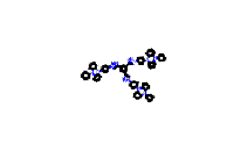 c1ccc(N2c3ccccc3N(c3ccc(-n4cc(-c5cc(-c6cn(-c7ccc(N8c9ccccc9N(c9ccccc9)c9ccccc98)cc7)nn6)cc(-c6cn(-c7ccc(N8c9ccccc9N(c9ccccc9)c9ccccc98)cc7)nn6)c5)nn4)cc3)c3ccccc32)cc1